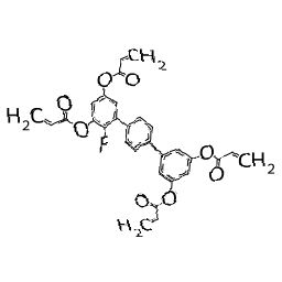 C=CC(=O)Oc1cc(OC(=O)C=C)cc(-c2ccc(-c3cc(OC(=O)C=C)cc(OC(=O)C=C)c3F)cc2)c1